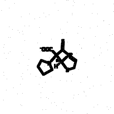 O=C([O-])C1(N2CCCC2)C(=S)[N+]2=CCS[C@H]21